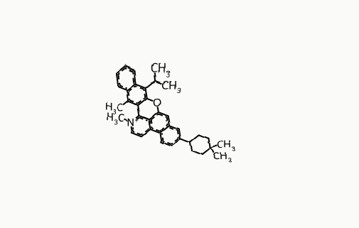 Cc1c2c(c(C(C)C)c3ccccc13)Oc1cc3cc(C4CCC(C)(C)CC4)ccc3c3cc[n+](C)c-2c13